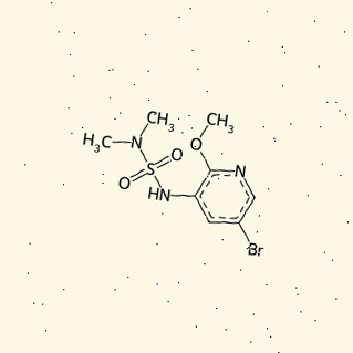 COc1ncc(Br)cc1NS(=O)(=O)N(C)C